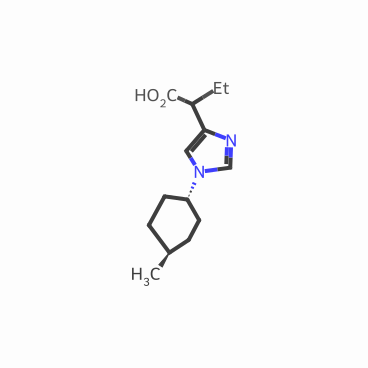 CCC(C(=O)O)c1cn([C@H]2CC[C@H](C)CC2)cn1